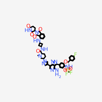 C[C@H](Oc1cc(-c2nn(C)c3c(-c4cnn(C5CCC(C(=O)N[C@H]6C[C@H](Nc7cccc8c7C(=O)N(C7CCC(=O)NC7=O)C8=O)C6)N(C)C5)c4)cnc(N)c23)ccc1NS(=O)(=O)C(F)F)c1ccc(F)cc1